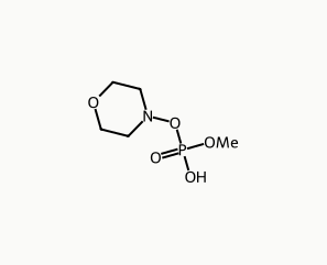 COP(=O)(O)ON1CCOCC1